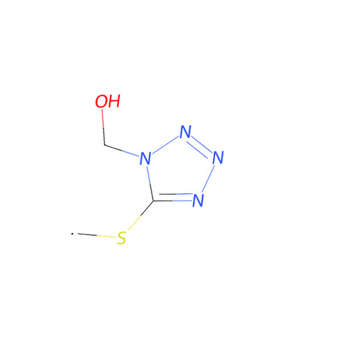 [CH2]Sc1nnnn1CO